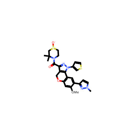 COc1cc2c(cc1-c1ccn(C)n1)-c1c(c(C(=O)N3CC[S+]([O-])CC3(C)C)nn1-c1ccsc1)CO2